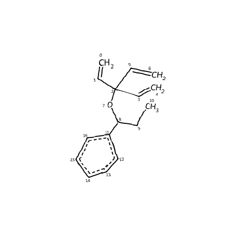 C=CC(C=C)(C=C)OC(CC)c1ccccc1